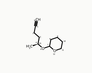 C#CCC[C@H](C)OC1CCCCO1